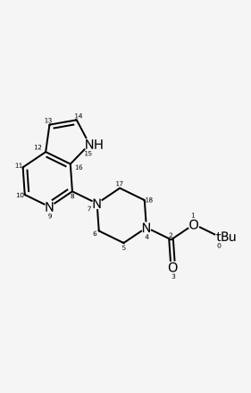 CC(C)(C)OC(=O)N1CCN(c2nccc3cc[nH]c23)CC1